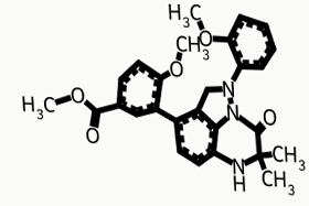 COC(=O)c1ccc(OC)c(-c2ccc3c4c2CN(c2ccccc2OC)N4C(=O)C(C)(C)N3)c1